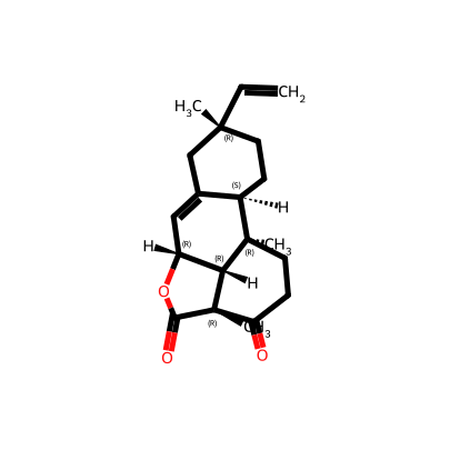 C=C[C@]1(C)CC[C@@H]2C(=C[C@H]3OC(=O)[C@@]4(C)C(=O)CC[C@@]2(C)[C@@H]34)C1